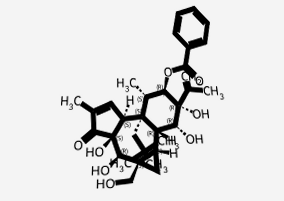 C=C(C)[C@@]1(O)[C@H](O)[C@@H]2[C@@H]3C[C@]3(CO)[C@@H](O)[C@]3(O)C(=O)C(C)=C[C@H]3[C@@]2(CC(C)(C)C)[C@H](C)[C@H]1OC(=O)c1ccccc1